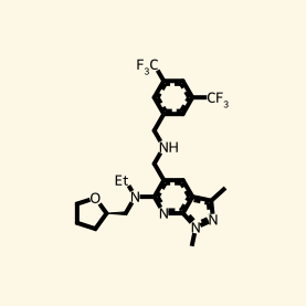 CCN(C[C@H]1CCCO1)c1nc2c(cc1CNCc1cc(C(F)(F)F)cc(C(F)(F)F)c1)c(C)nn2C